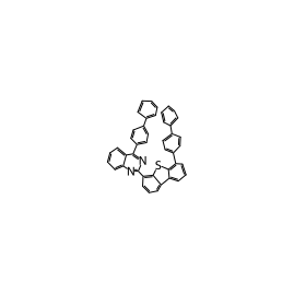 c1ccc(-c2ccc(-c3nc(-c4cccc5c4sc4c(-c6ccc(-c7ccccc7)cc6)cccc45)nc4ccccc34)cc2)cc1